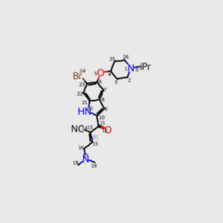 CC(C)N1CCC(Oc2cc3cc(C(=O)/C(C#N)=C/CN(C)C)[nH]c3cc2Br)CC1